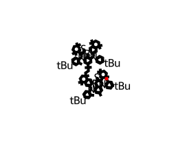 Cc1cc2c3c(c1)N(c1ccc(C(C)(C)C)cc1C)c1c(sc4c1C(C)(C)CCC4(C)C)B3c1cc3c(cc1N2c1ccc(C(C)(C)C)cc1C)C(C)(C)CCC3(C)CCC(C)(C)c1cc2c3c(c1)N(c1ccc(C(C)(C)C)cc1C)c1c(sc4c1C(C)(C)CCC4(C)C)B3c1cc3c(cc1N2c1ccc(C(C)(C)C)cc1)C(C)(C)CCC3(C)C